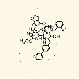 COC(=O)NC(C(=O)NC(Cc1ccc(-c2cccnc2)cc1)C(O)CN(Cc1ccccc1F)NC(=O)OC1COC2OCCC12)C(C)(C)C